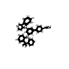 CC1(C)c2ccccc2N(c2cc(-c3ccc(C#N)cc3)cc(-n3c4ccccc4c4cnccc43)c2)c2ccccc21